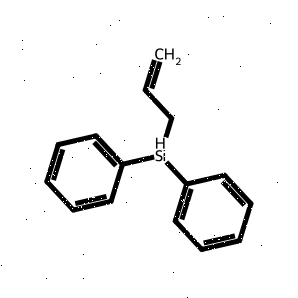 C=CC[SiH](c1ccccc1)c1ccccc1